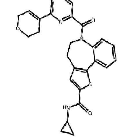 O=C(NC1CC1)c1cc2c(s1)-c1ccccc1N(C(=O)c1cccc(C3=CCOCC3)n1)CC2